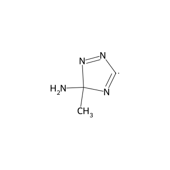 CC1(N)N=[C]N=N1